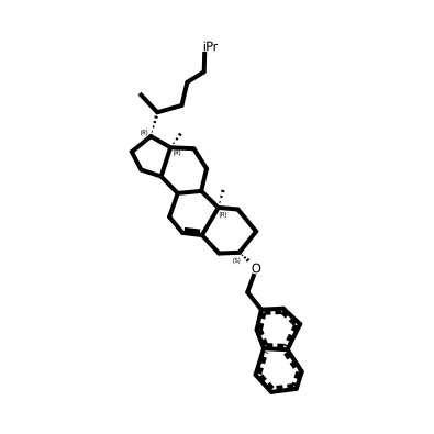 CC(C)CCCC(C)[C@H]1CCC2C3CC=C4C[C@@H](OCc5ccc6ccccc6c5)CC[C@]4(C)C3CC[C@@]21C